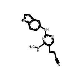 CNc1nc(Nc2ccc3[nH]ccc3c2)ncc1C=CC#N